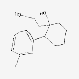 Cc1cccc(C2CCCCC2(O)CCO)c1